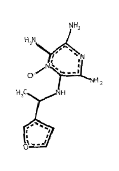 CC(Nc1c(N)nc(N)c(N)[n+]1[O-])c1ccoc1